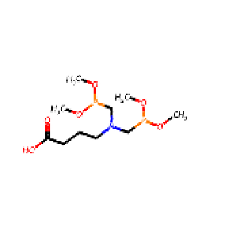 COP(CN(CCCC(=O)O)CP(OC)OC)OC